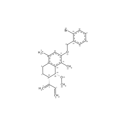 C=CC(=C)[C@@H]1CCc2c(C)cc(OCc3ccccc3Br)c(C)c2[C@@H]1OC